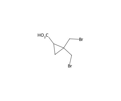 O=C(O)C1CC1(CBr)CBr